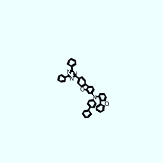 c1ccc(-c2ccc(N(c3ccc4c(c3)oc3cc(-c5nc(-c6ccccc6)nc(-c6ccccc6)n5)ccc34)c3cccc4oc5ccccc5c34)cc2)cc1